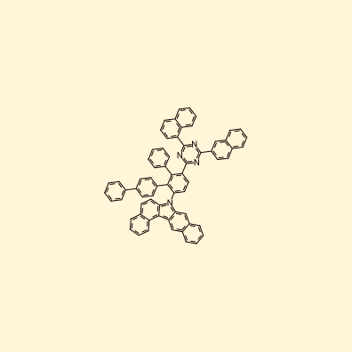 c1ccc(-c2ccc(-c3c(-n4c5cc6ccccc6cc5c5c6ccccc6ccc54)ccc(-c4nc(-c5ccc6ccccc6c5)nc(-c5cccc6ccccc56)n4)c3-c3ccccc3)cc2)cc1